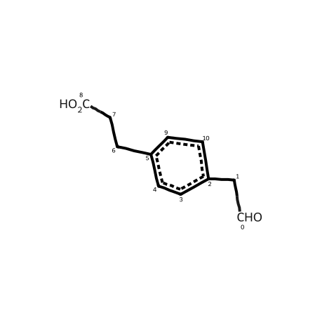 O=CCc1ccc(CCC(=O)O)cc1